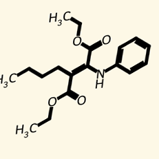 CCCC/C(C(=O)OCC)=C(/Nc1ccccc1)C(=O)OCC